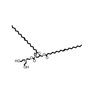 CCCCCCCCC=CCCCCCCCC(=O)OCC(CNC(=O)OCCN(CCO)CCO)OC(=O)CCCCCCCC=CCCCCCCCC